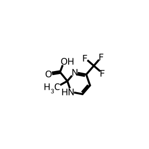 CC1(C(=O)O)N=C(C(F)(F)F)C=CN1